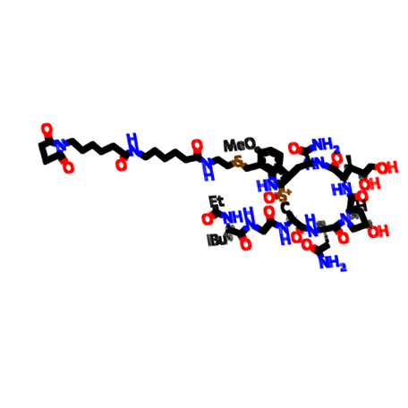 CCC(=O)N[C@H](C(=O)NCC(=O)N[C@H]1C[S+]([O-])c2[nH]c3c(CSCCNC(=O)CCCCCNC(=O)CCCCCN4C(=O)CCC4=O)c(OC)ccc3c2C[C@@H](C(N)=O)NC(=O)[C@H]([C@@H](C)[C@@H](O)CO)NC(=O)[C@@H]2C[C@@H](O)CN2C(=O)[C@H](CC(N)=O)NC1=O)[C@@H](C)CC